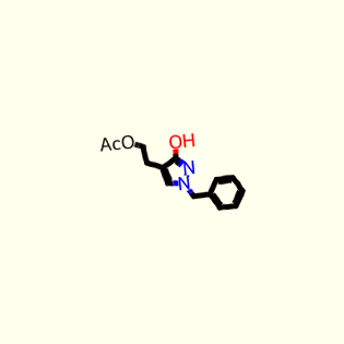 CC(=O)OCCc1cn(Cc2ccccc2)nc1O